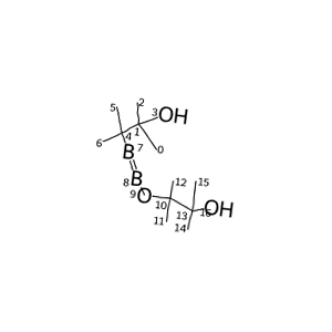 CC(C)(O)C(C)(C)B=BOC(C)(C)C(C)(C)O